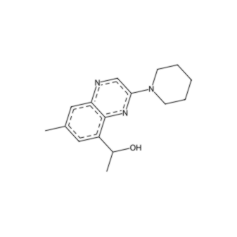 Cc1cc(C(C)O)c2nc(N3CCCCC3)cnc2c1